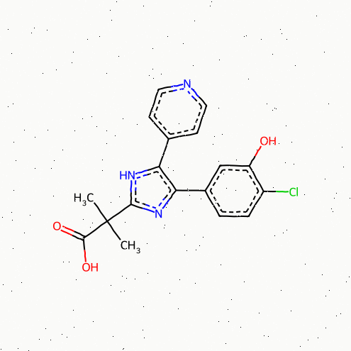 CC(C)(C(=O)O)c1nc(-c2ccc(Cl)c(O)c2)c(-c2ccncc2)[nH]1